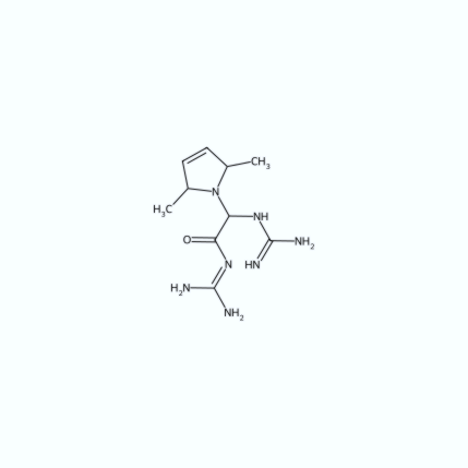 CC1C=CC(C)N1C(NC(=N)N)C(=O)N=C(N)N